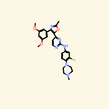 COc1cc(OC)cc(-c2nc(C)oc2-c2ccnc(Nc3ccc(N4CCN(C)CC4)c(F)c3)n2)c1